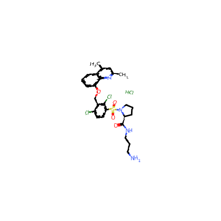 Cc1cc(C)c2cccc(OCc3c(Cl)ccc(S(=O)(=O)N4CCC[C@H]4C(=O)NCCCN)c3Cl)c2n1.Cl